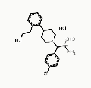 Cl.N[C@@H](C=O)C(c1ccc(Cl)cc1)N1CCC(c2ccccc2CCO)CC1